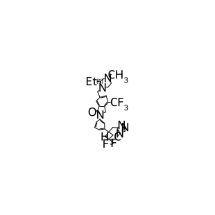 CC[C@H]1CN(C)CCN1Cc1cc2c(c(C(F)(F)F)c1)CN(c1cccc(C3(Cc4nncn4C)CC(F)(F)C3)c1)C2=O